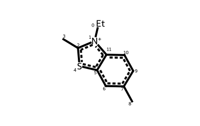 CC[n+]1c(C)sc2cc(C)ccc21